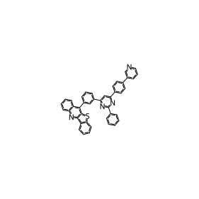 c1ccc(-c2nc(-c3ccc(-c4cccnc4)cc3)cc(-c3cccc(-c4c5ccccc5nc5c4sc4ccccc45)c3)n2)cc1